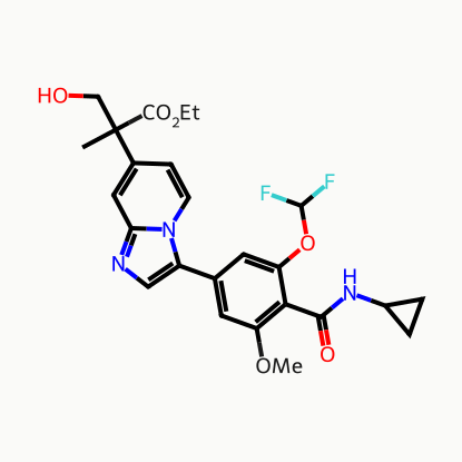 CCOC(=O)C(C)(CO)c1ccn2c(-c3cc(OC)c(C(=O)NC4CC4)c(OC(F)F)c3)cnc2c1